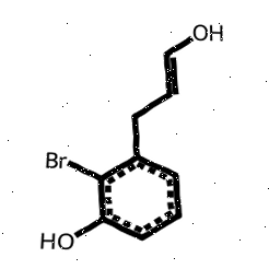 OC=CCc1cccc(O)c1Br